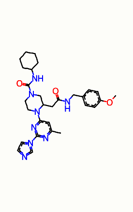 COc1ccc(CNC(=O)CC2CN(C(=O)NC3CCCCC3)CCN2c2cc(C)nc(-n3ccnc3)n2)cc1